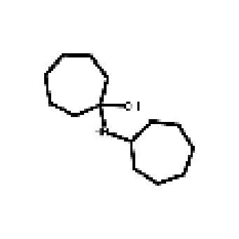 OC1(NC2CCCCCC2)CCCCCC1